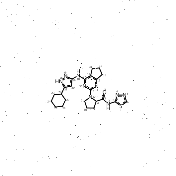 O=C(Nc1nncs1)C1CCCN1c1nc2c(c(Nc3cc(C4CCCCC4)[nH]n3)n1)CCC2